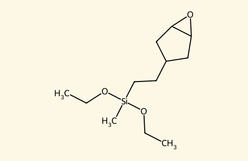 CCO[Si](C)(CCC1CC2OC2C1)OCC